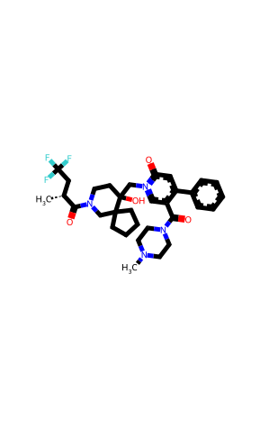 C[C@H](CC(F)(F)F)C(=O)N1CCC(O)(Cn2cc(C(=O)N3CCN(C)CC3)c(-c3ccccc3)cc2=O)C2(CCCC2)C1